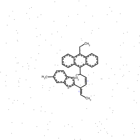 C/C=C(\C=C/C(C)c1c2ccccc2c(CC)c2ccccc12)c1nc2ccc(C)cc2s1